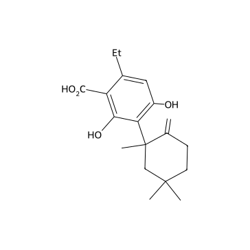 C=C1CCC(C)(C)CC1(C)c1c(O)cc(CC)c(C(=O)O)c1O